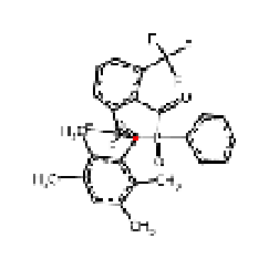 Cc1cc(C)c(C)c(C(=O)P(=O)(C(=O)c2c(C(F)(F)F)cccc2C(F)(F)F)c2ccccc2)c1C